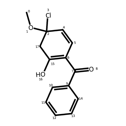 COC1(Cl)C=CC(C(=O)c2ccccc2)=C(O)C1